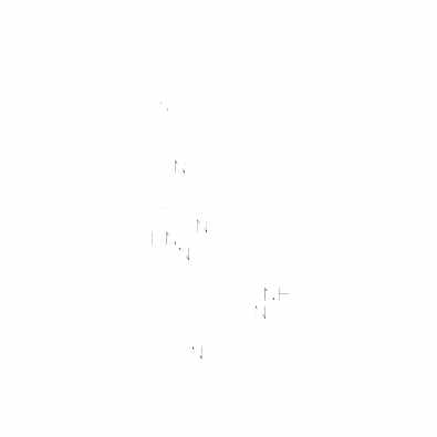 c1ccc2c(CN3CCC[C@@H](c4nc(-c5ccc6[nH]nc(-c7ccncc7)c6c5)n[nH]4)C3)csc2c1